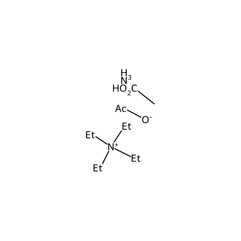 CC(=O)O.CC(=O)[O-].CC[N+](CC)(CC)CC.N